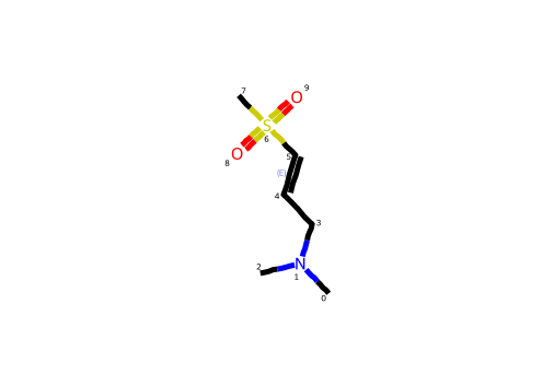 CN(C)C/C=C/S(C)(=O)=O